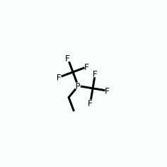 CCP(C(F)(F)F)C(F)(F)F